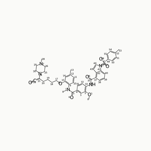 COc1cc(C(=O)N(C)c2ccc(C)cc2OCCCCC(=C=O)N2CCN(C)CC2)ccc1NC(=O)c1cccc2c1ccn2S(=O)(=O)c1ccc(C)cc1